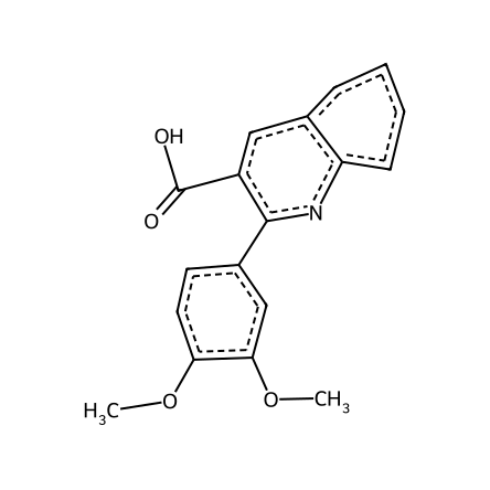 COc1ccc(-c2nc3ccccc3cc2C(=O)O)cc1OC